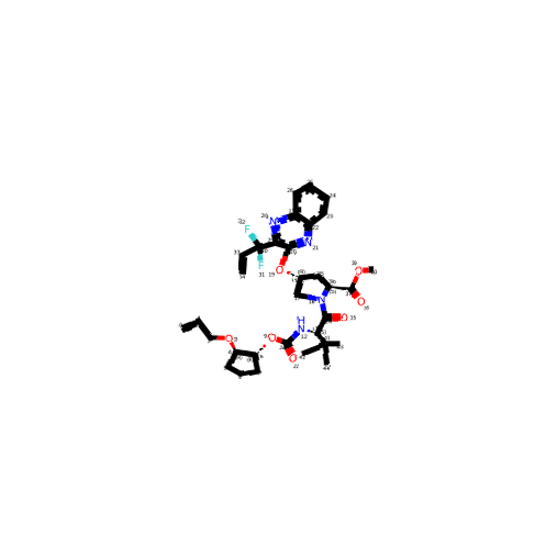 C=CCO[C@@H]1CCC[C@H]1OC(=O)N[C@H](C(=O)N1C[C@H](Oc2nc3ccccc3nc2C(F)(F)C=C)C[C@H]1C(=O)OC)C(C)(C)C